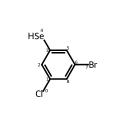 Clc1cc([SeH])cc(Br)c1